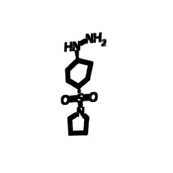 NN[C@H]1CC[C@H](S(=O)(=O)N2CCCC2)CC1